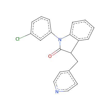 O=C1C(Cc2ccncc2)c2ccccc2N1c1cccc(Cl)c1